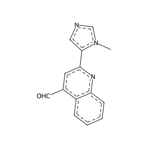 Cn1cncc1-c1cc(C=O)c2ccccc2n1